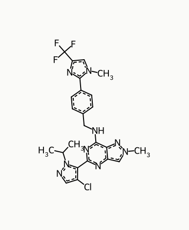 CC(C)n1ncc(Cl)c1-c1nc(NCc2ccc(-c3nc(C(F)(F)F)cn3C)cc2)c2nn(C)cc2n1